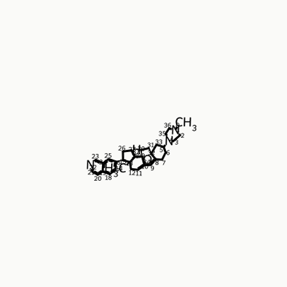 CN1CCN(C2CCC3=CC4=CC[C@]5(C)[C@@H](c6ccc7ccncc7c6)CC[C@H]5[C@@]45CC[C@]3(C2)O5)CC1